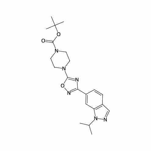 CC(C)n1ncc2ccc(-c3noc(N4CCN(C(=O)OC(C)(C)C)CC4)n3)cc21